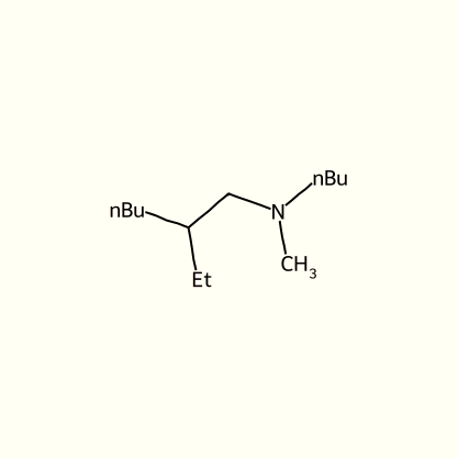 CCCCC(CC)CN(C)CCCC